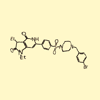 CCC1C(=O)N(CC)c2cc(-c3ccc(S(=O)(=O)N4CCN(Cc5ccc(Br)cc5)CC4)cc3)[nH]c(=O)c21